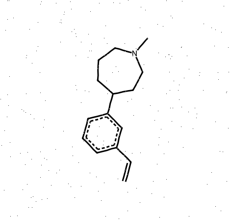 C=Cc1cccc(C2CCCN(C)CC2)c1